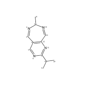 CC1N=Cc2cnc(C(C)C)nc2C=N1